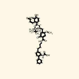 COc1cc(C(=O)NCCCCc2ccc(-c3ccccc3)c(NC(=O)O)c2)c(Cl)cc1CNC[C@@H](O[Si](C)(C)C(C)(C)C)c1ccc(O)c2[nH]c(=O)ccc12